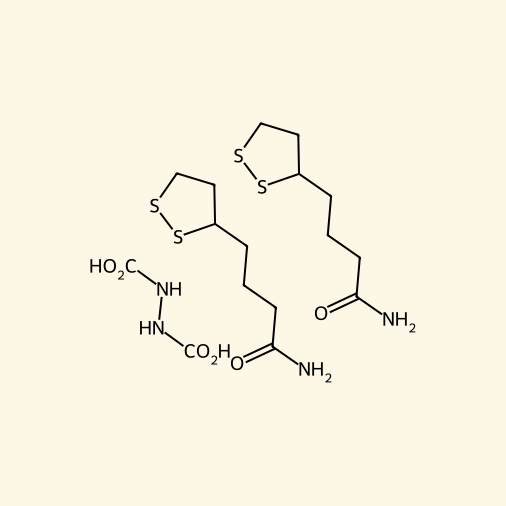 NC(=O)CCCC1CCSS1.NC(=O)CCCC1CCSS1.O=C(O)NNC(=O)O